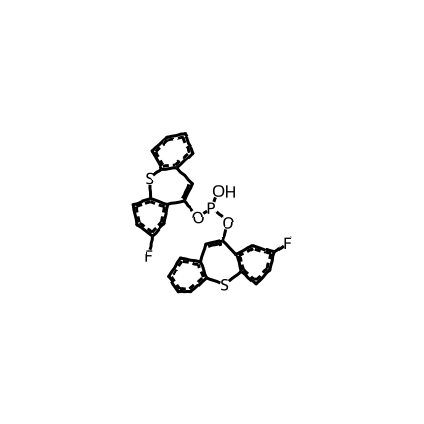 OP(OC1=Cc2ccccc2Sc2ccc(F)cc21)OC1=Cc2ccccc2Sc2ccc(F)cc21